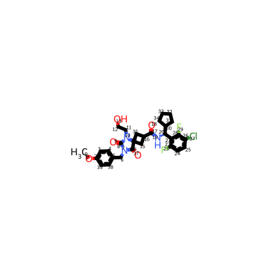 COc1ccc(CN2C(=O)N(CCO)C3(CC(C(=O)N[C@H](c4c(F)ccc(Cl)c4F)C4CCCC4)C3)C2=O)cc1